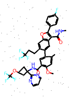 CNC(=O)c1c(-c2ccc(F)cc2)oc2cc(CCC(F)(F)F)c(-c3cc(C(=O)NC4(c5ncccn5)CC(OC(F)(F)F)C4)c(OC)cc3C)cc12